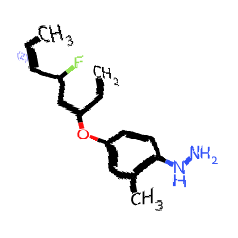 C=CC(CC(F)/C=C\C)Oc1ccc(NN)c(C)c1